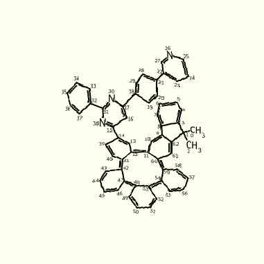 CC1(C)c2ccccc2-c2cc3c4cc(-c5cc(-c6ccc(-c7cccnc7)cc6)nc(-c6ccccc6)n5)ccc4c4ccccc4c4ccccc4c4ccccc4c3cc21